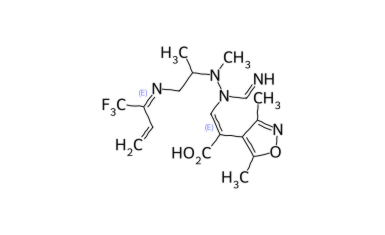 C=C/C(=N\CC(C)N(C)N(C=N)/C=C(/C(=O)O)c1c(C)noc1C)C(F)(F)F